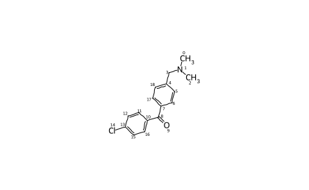 CN(C)Cc1ccc(C(=O)c2ccc(Cl)cc2)cc1